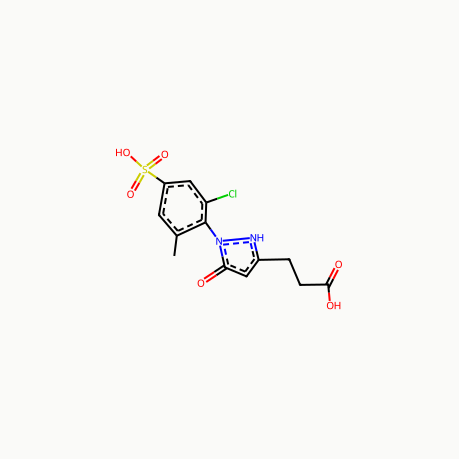 Cc1cc(S(=O)(=O)O)cc(Cl)c1-n1[nH]c(CCC(=O)O)cc1=O